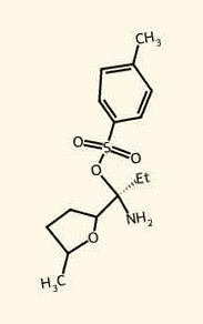 CC[C@@](N)(OS(=O)(=O)c1ccc(C)cc1)C1CCC(C)O1